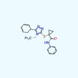 CCn1c(SC2(C(=O)Nc3ccccc3)CC2)nnc1C1C=CC=CC1